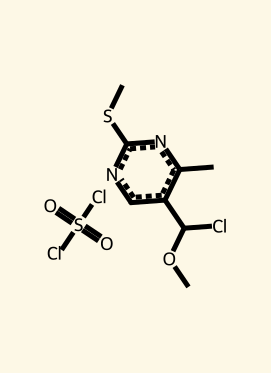 COC(Cl)c1cnc(SC)nc1C.O=S(=O)(Cl)Cl